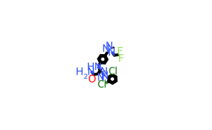 NC(=O)c1nn(-c2c(Cl)cccc2Cl)nc1Nc1ccc(-c2nncn2CC(F)F)cc1